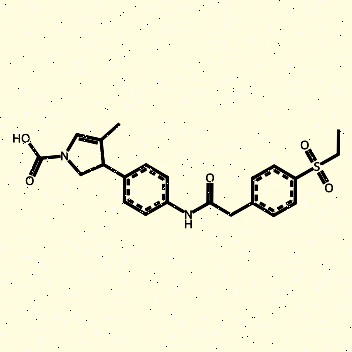 CCS(=O)(=O)c1ccc(CC(=O)Nc2ccc(C3CN(C(=O)O)C=C3C)cc2)cc1